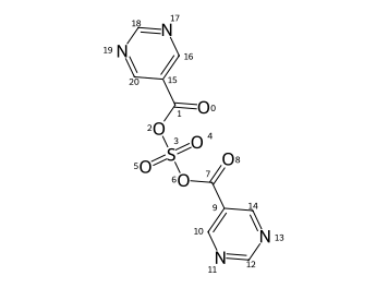 O=C(OS(=O)(=O)OC(=O)c1cncnc1)c1cncnc1